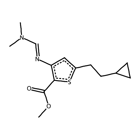 COC(=O)c1sc(CCC2CC2)cc1/N=C/N(C)C